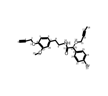 C#CCOc1ccc(CCNC(=O)[C@@H](OCC#CC)c2ccc(Br)cc2)cc1OC